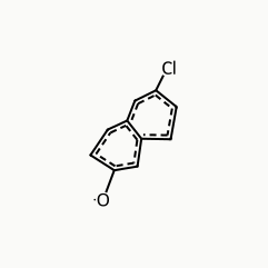 [O]c1ccc2cc(Cl)ccc2c1